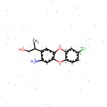 CC(CO)c1cc2c(cc1N)Oc1ccc(Cl)cc1O2